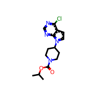 CC(C)OC(=O)N1CCC(n2ccc3c(Cl)ncnc32)CC1